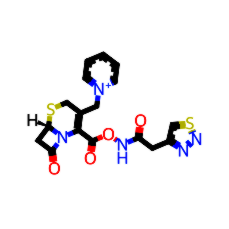 O=C(Cc1csnn1)NOC(=O)C1=C(C[n+]2ccccc2)CS[C@H]2CC(=O)N12